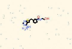 NNc1ncnc2sc(Cc3cccc(C(=O)NCCO)c3)cc12